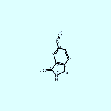 O=Nc1ccc2c(c1)C(=O)NC2